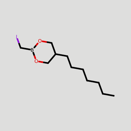 CCCCCCCC1COB(CI)OC1